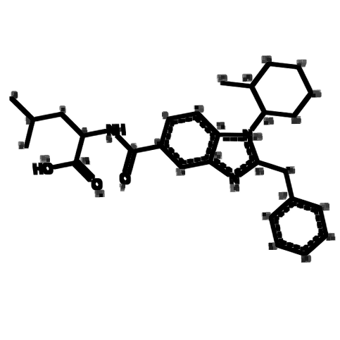 CC(C)CC(NC(=O)c1ccc2c(c1)nc(Cc1ccccc1)n2C1CCCCC1C)C(=O)O